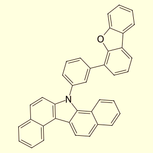 c1cc(-c2cccc3c2oc2ccccc23)cc(-n2c3ccc4ccccc4c3c3ccc4ccccc4c32)c1